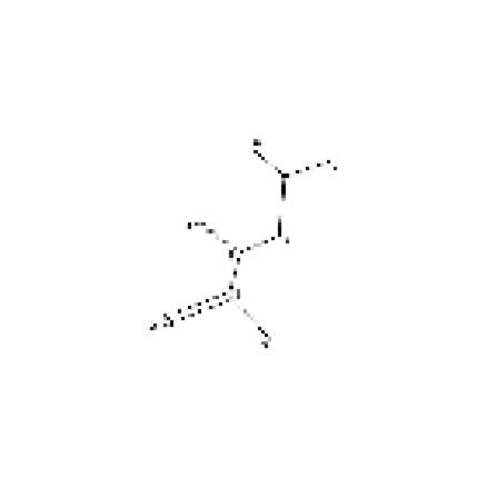 CC(=S)[C@H](C)CC(C)C